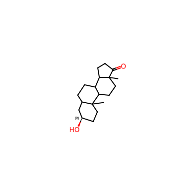 CC12CCC3C(CCC4C[C@H](O)CCC43C)C1CCC2=O